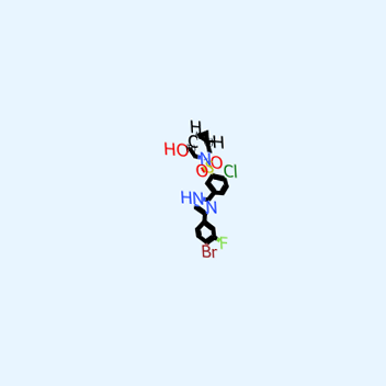 O=S(=O)(c1cc(-c2nc(-c3ccc(Br)c(F)c3)c[nH]2)ccc1Cl)N1C[C@H](O)C[C@@H]2C[C@@H]2C1